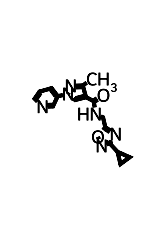 Cc1nn(-c2cccnc2)cc1C(=O)NCc1nc(C2CC2)no1